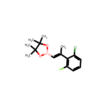 CC(=CB1OC(C)(C)C(C)(C)O1)c1c(F)cccc1Cl